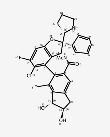 CNC(=O)c1cc2c(c(F)c1-c1c(Cl)c(F)cc3c1C[C@](c1ccccc1)([C@@H]1CCCN1)O3)[C@@H](O)[C@H](O)C2